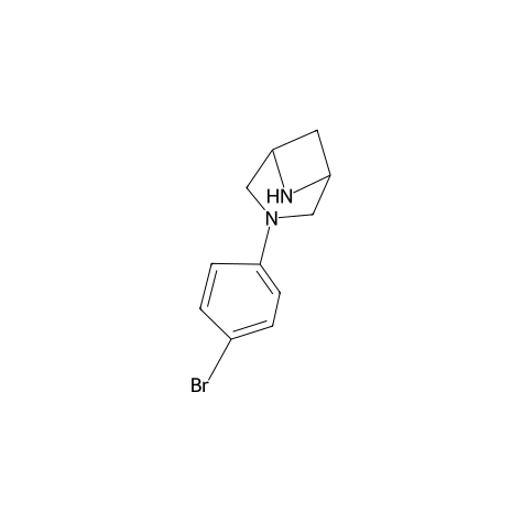 Brc1ccc(N2CC3CC(C2)N3)cc1